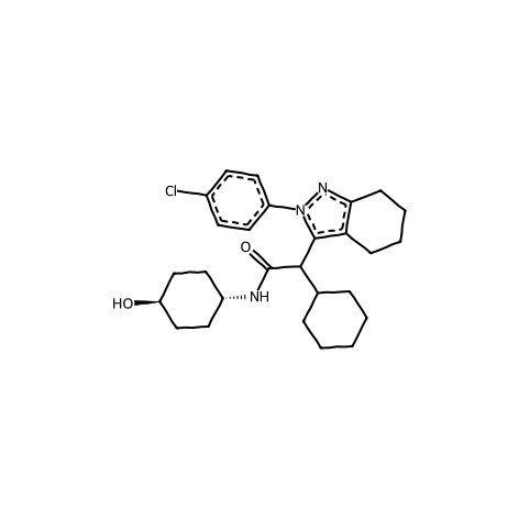 O=C(N[C@H]1CC[C@H](O)CC1)C(c1c2c(nn1-c1ccc(Cl)cc1)CCCC2)C1CCCCC1